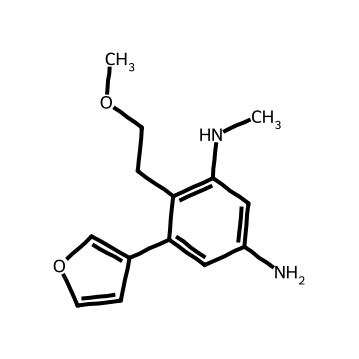 CNc1cc(N)cc(-c2ccoc2)c1CCOC